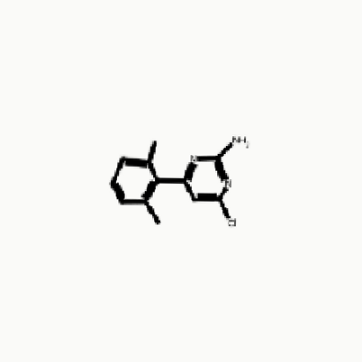 Cc1cccc(C)c1-c1cc(Cl)nc(N)n1